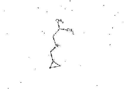 CC(C)CNCC1CC1